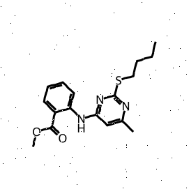 CCCCSc1nc(C)cc(Nc2ccccc2C(=O)OC)n1